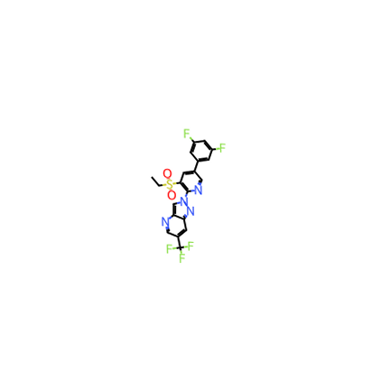 CCS(=O)(=O)c1cc(-c2cc(F)cc(F)c2)cnc1-n1cc2ncc(C(F)(F)F)cc2n1